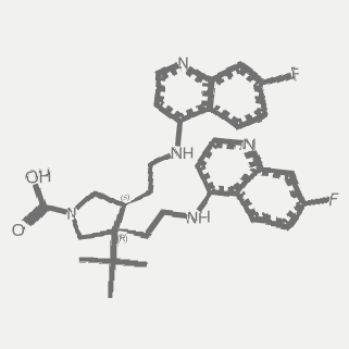 CC(C)(C)[C@]1(CCNc2ccnc3cc(F)ccc23)CN(C(=O)O)C[C@H]1CCNc1ccnc2cc(F)ccc12